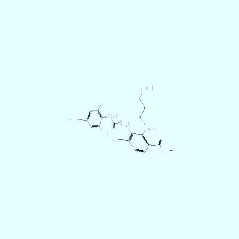 COC(=O)c1ccc(Cl)c(NC(=S)Nc2c(C)cc(Cl)cc2Cl)c1NCCCO